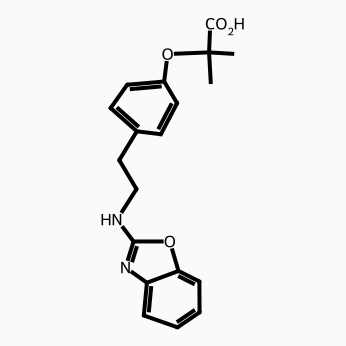 CC(C)(Oc1ccc(CCNc2nc3ccccc3o2)cc1)C(=O)O